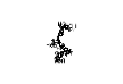 CC[C@@]1(O)C(=O)OCc2c1cc1n(c2=O)Cc2c-1nc1cc(F)c(C)c3c1c2[C@H](NC(=O)CC1CC2(C1)CN(Cc1ccc4c(c1)CN(C(=O)c1cc(C(C)C)c(O)cc1O)C4)C2)CC3.O=C(O)C(F)(F)F